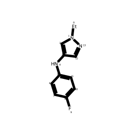 CCn1cc(Nc2ccc(F)cc2)cn1